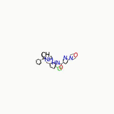 C[C@@H](NCc1ccc(Cl)c(NC(=O)c2ccc(N3CCOCC3)nc2)c1)c1ccccc1